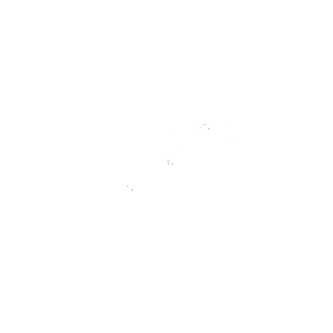 O=C(NCC(=O)N1CCC2C1CCN2C1CCCCC1)c1cccc(C(F)(F)F)c1